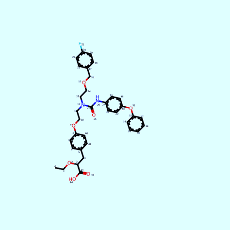 CCOC(Cc1ccc(OCCN(CCOCc2ccc(F)cc2)C(=O)Nc2ccc(Oc3ccccc3)cc2)cc1)C(=O)O